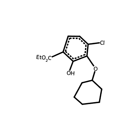 CCOC(=O)c1ccc(Cl)c(OC2CCCCC2)c1O